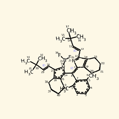 Cc1cccc(C)c1/C(=C1N=C(/C=C/C(C)(C)C)C2=C/1CCCC2)c1c2c(c(/C=C/C(C)(C)C)n1B(F)F)CCCC2